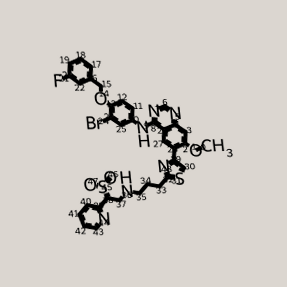 COc1cc2ncnc(Nc3ccc(OCc4cccc(F)c4)c(Br)c3)c2cc1-c1csc(CCCNCC(c2ccccn2)=S(=O)=O)n1